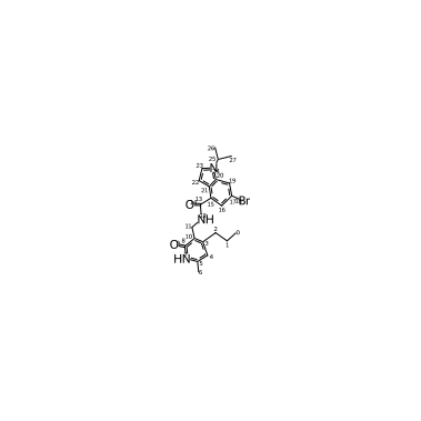 CCCc1cc(C)[nH]c(=O)c1CNC(=O)c1cc(Br)cc2c1ccn2C(C)C